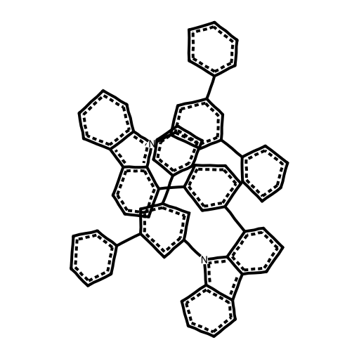 c1ccc(-c2cc(-c3ccccc3)cc(-n3c4ccccc4c4cccc(-c5cccc(-c6cccc7c8ccccc8n(-c8cc(-c9ccccc9)cc(-c9ccccc9)c8)c67)c5)c43)c2)cc1